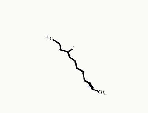 C/C=C/CCCCCC(F)CCC